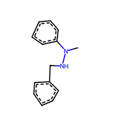 CN(NCc1ccccc1)c1ccccc1